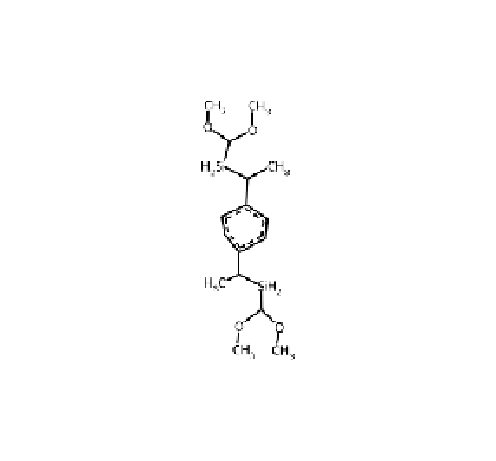 COC(OC)[SiH2]C(C)c1ccc(C(C)[SiH2]C(OC)OC)cc1